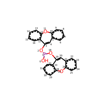 OP(OC1=Cc2ccccc2Oc2ccccc21)OC1=Cc2ccccc2Oc2ccccc21